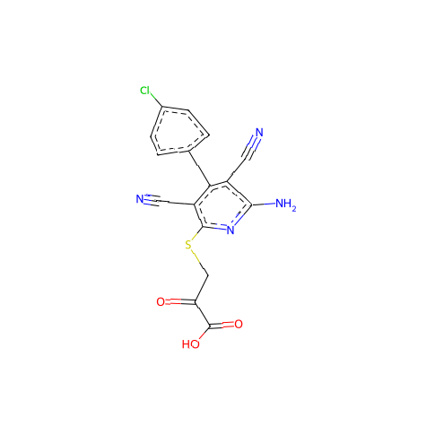 N#Cc1c(N)nc(SCC(=O)C(=O)O)c(C#N)c1-c1ccc(Cl)cc1